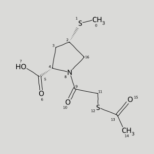 CS[C@H]1C[C@@H](C(=O)O)N(C(=O)CSC(C)=O)C1